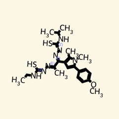 CCN/C(S)=N/N=C(C)/C(=N/N=C(\S)NC(C)C)c1cc(-c2ccc(OC)cc2)n(C)c1C